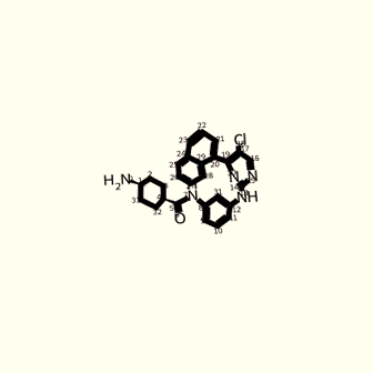 N[C@H]1CC[C@@H](C(=O)Nc2cccc(Nc3ncc(Cl)c(-c4cc#cc5ccccc45)n3)c2)CC1